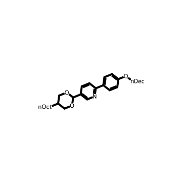 CCCCCCCCCCOc1ccc(-c2ccc(C3OCC(CCCCCCCC)CO3)cn2)cc1